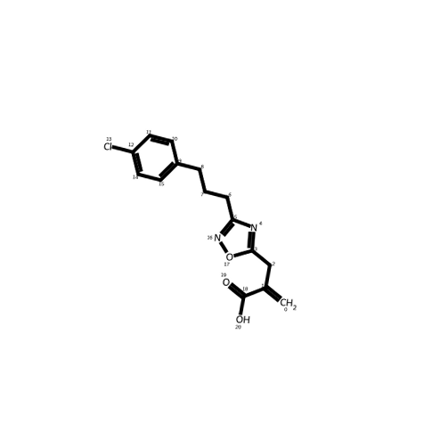 C=C(Cc1nc(CCCc2ccc(Cl)cc2)no1)C(=O)O